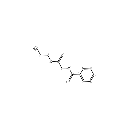 CCCOC(=O)COC(=O)c1[c]cccc1